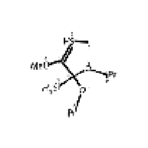 COC(=[SH]C)C([SiH3])(OC(C)C)OC(C)C